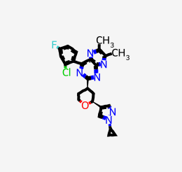 Cc1nc2nc([C@@H]3CCO[C@H](c4cnn(C5CC5)c4)C3)nc(-c3ccc(F)cc3Cl)c2nc1C